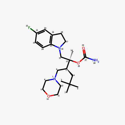 CC(C)(C)C[C@@H](CN1CCOCC1)[C@@](C)(CN1CCc2cc(F)ccc21)OC(N)=O